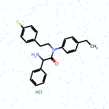 CCc1ccc(N(CCc2ccc(F)cc2)C(=O)C(N)c2ccccc2)cc1.Cl